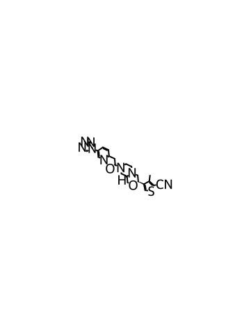 Cc1c([C@@H]2CN3CCN(C(=O)Cc4ccc(-n5cnnn5)cn4)C[C@H]3CO2)csc1C#N